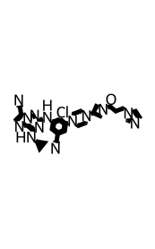 N#Cc1cc(Nc2nc(NC3CC3)c3ncc(C#N)n3n2)c(Cl)c(N2CCN(C3CN(C(=O)CCn4ccnc4)C3)CC2)c1